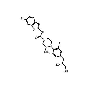 C[C@H]1CN(C(=O)Nc2nc3ccc(F)cc3s2)CCN1c1ncc(C[C@@H](O)CO)cc1F